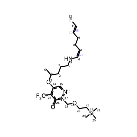 CC(CCCN/C=C\CC/C=C/F)Oc1cnn(COCC[Si](C)(C)C)c(=O)c1C(F)(F)F